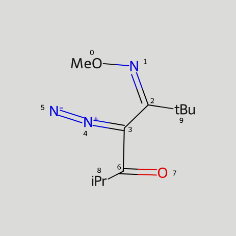 CON=C(C(=[N+]=[N-])C(=O)C(C)C)C(C)(C)C